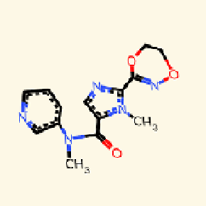 CN(C(=O)c1cnc(C2=NOCCO2)n1C)c1cccnc1